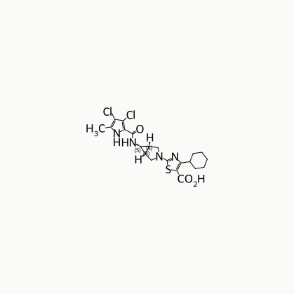 Cc1[nH]c(C(=O)N[C@H]2[C@@H]3CN(c4nc(C5CCCCC5)c(C(=O)O)s4)C[C@@H]32)c(Cl)c1Cl